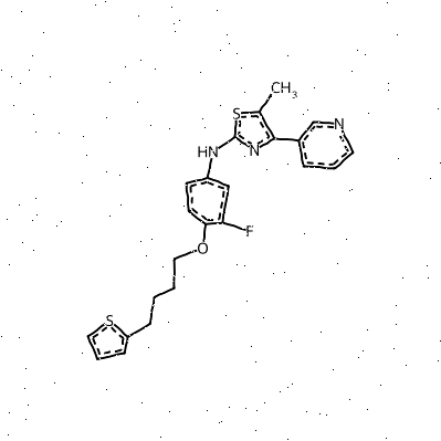 Cc1sc(Nc2ccc(OCCCCc3cccs3)c(F)c2)nc1-c1cccnc1